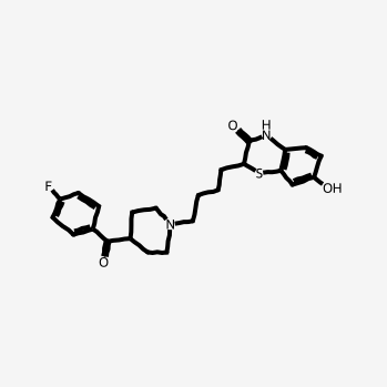 O=C(c1ccc(F)cc1)C1CCN(CCCCC2Sc3cc(O)ccc3NC2=O)CC1